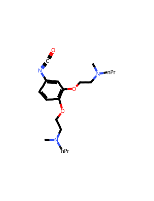 CCCN(C)CCOc1ccc(N=C=O)cc1OCCN(C)CCC